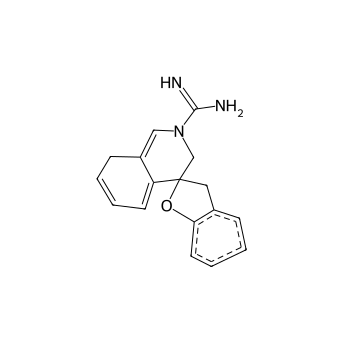 N=C(N)N1C=C2CC=CC=C2C2(Cc3ccccc3O2)C1